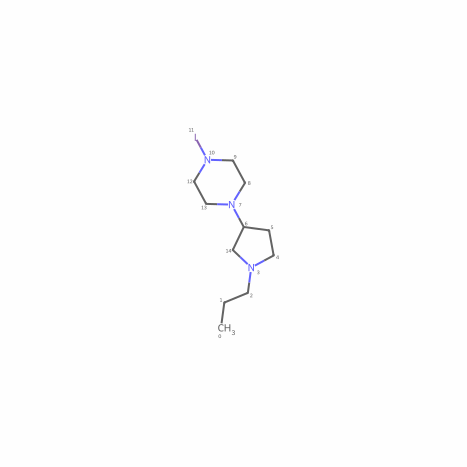 CCCN1CCC(N2CCN(I)CC2)C1